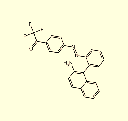 Nc1ccc2ccccc2c1-c1ccccc1N=Nc1ccc(C(=O)C(F)(F)F)cc1